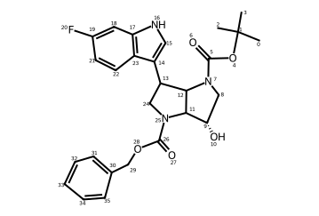 CC(C)(C)OC(=O)N1C[C@H](O)C2C1C(c1c[nH]c3cc(F)ccc13)CN2C(=O)OCc1ccccc1